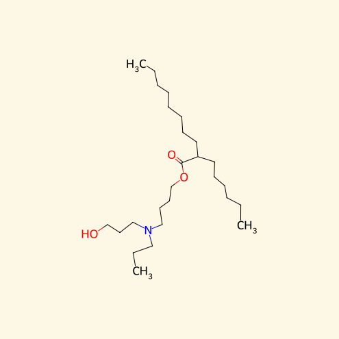 CCCCCCCCC(CCCCCC)C(=O)OCCCCN(CCC)CCCO